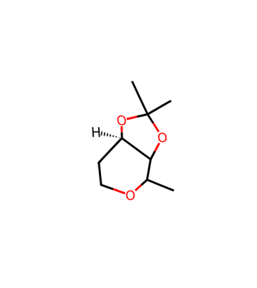 CC1OCC[C@H]2OC(C)(C)OC12